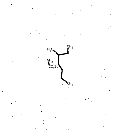 CCCCC(C)CC.CCOC(N)=O